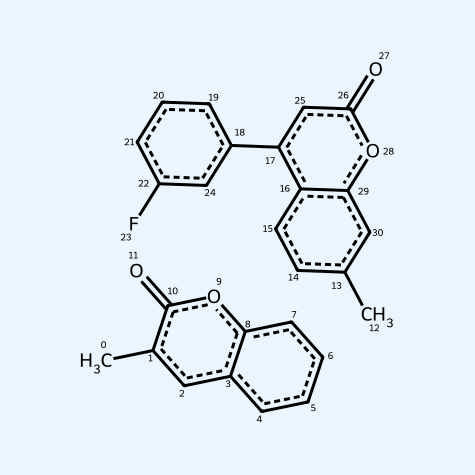 Cc1cc2ccccc2oc1=O.Cc1ccc2c(-c3cccc(F)c3)cc(=O)oc2c1